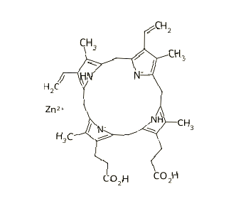 C=Cc1c2[n-]c(c1C)Cc1[nH]c(c(CCC(=O)O)c1C)Cc1[n-]c(c(C)c1CCC(=O)O)Cc1[nH]c(c(C)c1C=C)C2.[Zn+2]